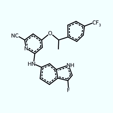 CC(Oc1cc(C#N)nc(Nc2ccc3c(F)c[nH]c3c2)c1)c1ccc(C(F)(F)F)cc1